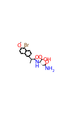 COc1ccc2cc(C(C)C(=O)N[C@@H](CC(N)=O)C(=O)O)ccc2c1Br